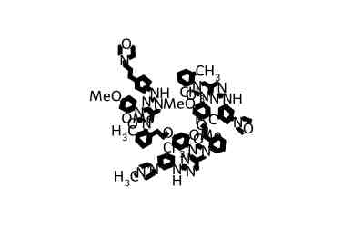 COc1ccc(N2C(=O)N(c3c(C)cccc3CCOc3ccc(N4C(=O)N(c5ccccc5CCOc5ccc(N6C(=O)N(c7c(C)cccc7C)Cc7cnc(Nc8cc(N9CCOCC9)cc(C(F)(F)F)c8)nc76)c(OC)c5)Cc5cnc(Nc6cc(N7CCN(C)CC7)cc(C(F)(F)F)c6)nc54)c(OC)c3)Cc3cnc(Nc4ccc(CCCN5CCOCC5)cc4)nc32)c(OC)c1